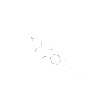 NCCNc1ccc2c(c1)C(O)N(C1CCC(=O)NC1=O)C2=O